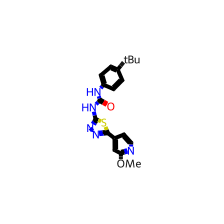 COc1cc(-c2nnc(NC(=O)Nc3ccc(C(C)(C)C)cc3)s2)ccn1